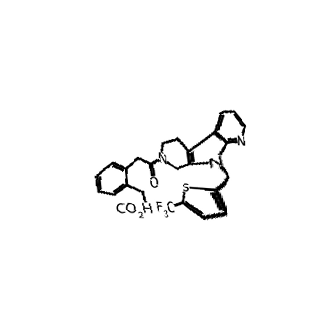 O=C(O)Cc1ccccc1CC(=O)N1CCc2c(n(Cc3ccc(C(F)(F)F)s3)c3ncccc23)C1